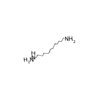 NCCCCCCCCCCCCNN